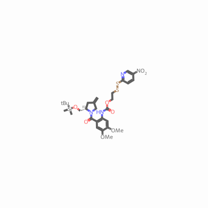 C=C1C[C@@H](CO[Si](C)(C)C(C)(C)C)N(C(=O)c2cc(OC)c(OC)cc2NC(=O)OCCSSc2ccc([N+](=O)[O-])cn2)C1